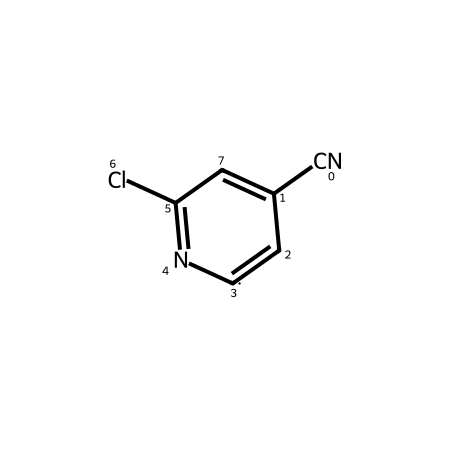 N#Cc1c[c]nc(Cl)c1